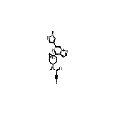 CC#CC(=O)N(C)[C@@H]1CC[C@@H]2C[C@]2(Oc2nc(-c3cnn(C)c3)cn3nccc23)C1